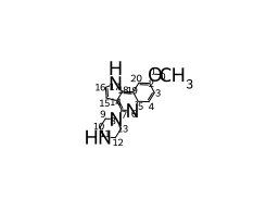 COc1ccc2nc(N3CCNCC3)c3cc[nH]c3c2c1